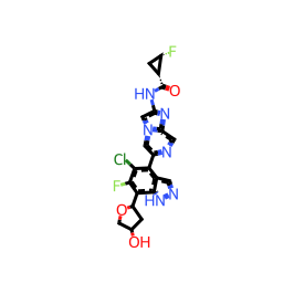 O=C(Nc1cn2cc(-c3c(Cl)c(F)c(C4CC(O)CO4)c4[nH]ncc34)ncc2n1)[C@@H]1C[C@@H]1F